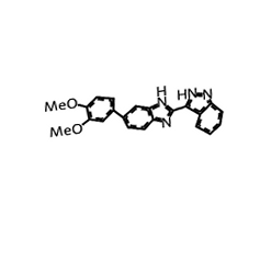 COc1ccc(-c2ccc3nc(-c4[nH]nc5ccccc45)[nH]c3c2)cc1OC